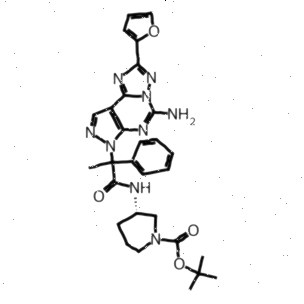 CC(C)(C)OC(=O)N1CCC[C@H](NC(=O)C(C)(c2ccccc2)n2ncc3c2nc(N)n2nc(-c4ccco4)nc32)C1